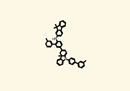 Cc1cccc(-c2ccc(N3C4=CC=C(c5ccc(Nc6ccc7c(c6)C(C)(C)c6ccccc6-7)c(C6=CC(C)CC=C6)c5)CC4(C)c4ccccc43)cc2)c1